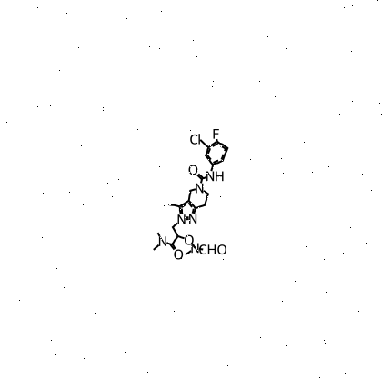 Cc1c2c(nn1CC(ON(C)C=O)C(=O)N(C)C)CCN(C(=O)Nc1ccc(F)c(Cl)c1)C2